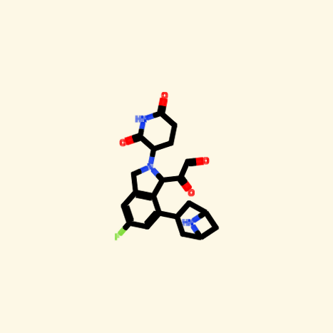 O=CC(=O)C1c2c(cc(F)cc2C2CC3CC(C2)N3)CN1C1CCC(=O)NC1=O